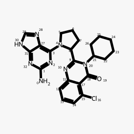 Nc1nc(N2CCCC2c2nc3cccc(Cl)c3c(=O)n2C2CCCCC2)c2nc[nH]c2n1